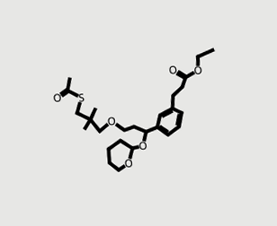 CCOC(=O)CCc1cccc(C(CCOCC(C)(C)CSC(C)=O)OC2CCCCO2)c1